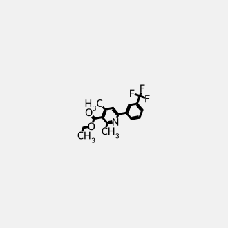 CCOC(=O)c1c(C)cc(-c2cccc(C(F)(F)F)c2)nc1C